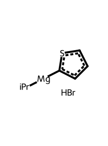 Br.C[CH](C)[Mg][c]1cccs1